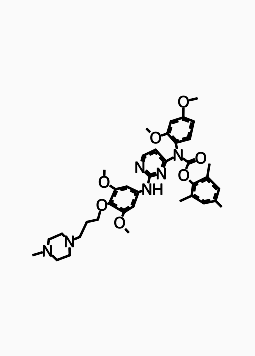 COc1ccc(N(C(=O)Oc2c(C)cc(C)cc2C)c2ccnc(Nc3cc(OC)c(OCCCN4CCN(C)CC4)c(OC)c3)n2)c(OC)c1